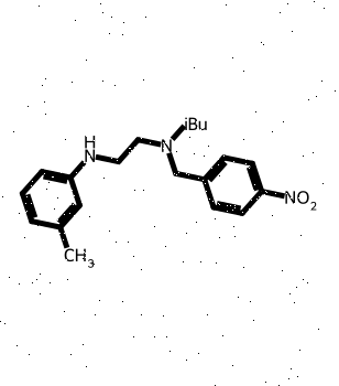 CCC(C)N(CCNc1cccc(C)c1)Cc1ccc([N+](=O)[O-])cc1